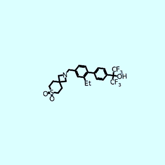 CCc1cc(CN2CC3(CCS(=O)(=O)CC3)C2)ccc1-c1ccc(C(O)(C(F)(F)F)C(F)(F)F)cc1